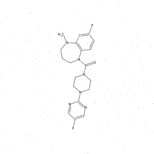 CN1CCCN(C(=O)N2CCN(c3ncc(F)cn3)CC2)c2ccc(F)cc21